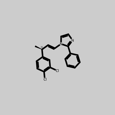 C[C@@H](C=Cn1ccnc1-c1ccccc1)c1ccc(Cl)c(Cl)c1